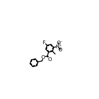 Cc1c(C(=O)OCc2ccccc2)cc(F)cc1[N+](=O)[O-]